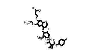 CCOc1cc2c(Oc3ccc(NC(=O)C4(C(=O)Nc5ccc(F)cc5)CC4)cc3F)ccnc2cc1OCCC(=O)O.[MgH2]